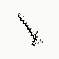 CCCCCCCCCCCCCCCCC(C)(CC=O)C1=NCCN1